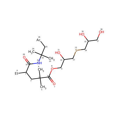 CCC(CC(C)(C)C(=O)OCC(O)CSCC(O)CO)C(=O)NC(C)(C)CC(C)=O